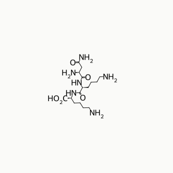 NCCCC[C@H](NC(=O)[C@H](CCCCN)NC(=O)[C@@H](N)CC(N)=O)C(=O)O